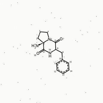 N[C@@]12CCCN1C(=O)C(Cc1ccccc1)NC2=O